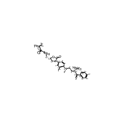 CCNN(CCN(C)c1ccc(N2C[C@H](CNC(=O)C(F)F)OC2=O)cc1F)C(=S)c1ccccc1